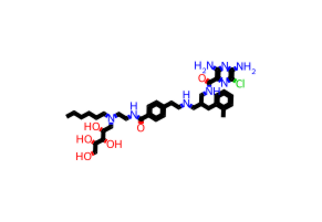 CCCCCCN(CCNC(=O)c1ccc(CCNCC(CNC(=O)c2nc(Cl)c(N)nc2N)Cc2ccccc2C)cc1)CC(O)C(O)C(O)CO